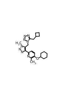 Cc1nc(-c2nnn(C)c2Cn2nnnc2CC2CCC2)ccc1OC1CCCCC1